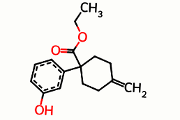 C=C1CCC(C(=O)OCC)(c2cccc(O)c2)CC1